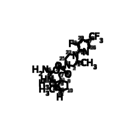 C[C@H]1CN(S(=O)(=O)C[C@]23CC[C@H](CC2NC(N)=O)C3(C)C)CCN1c1ncc(C(F)(F)F)cc1F